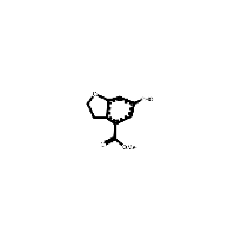 COC(=O)c1cc(C=O)cc2c1CCO2